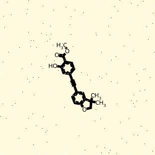 COC(=O)c1ccc(C#Cc2ccc3c(c2)C(C)(C)CO3)cc1O